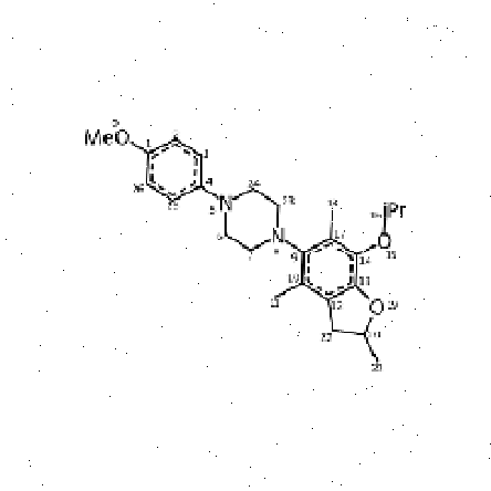 COc1ccc(N2CCN(c3c(C)c4c(c(OC(C)C)c3C)OC(C)C4)CC2)cc1